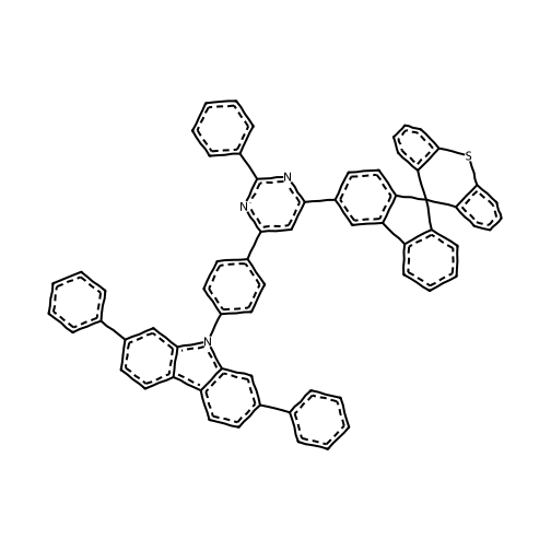 c1ccc(-c2ccc3c4ccc(-c5ccccc5)cc4n(-c4ccc(-c5cc(-c6ccc7c(c6)-c6ccccc6C76c7ccccc7Sc7ccccc76)nc(-c6ccccc6)n5)cc4)c3c2)cc1